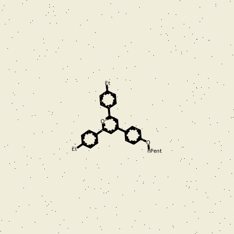 CCCCCOc1ccc(-c2cc(-c3ccc(CC)cc3)[o+]c(-c3ccc(CC)cc3)c2)cc1